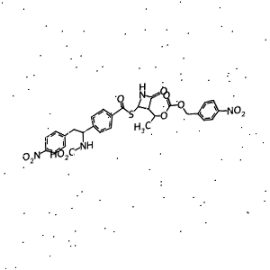 CC(OC(=O)OCc1ccc([N+](=O)[O-])cc1)C1C(=O)NC1SC(=O)c1ccc(C(Cc2ccc([N+](=O)[O-])cc2)NC(=O)O)cc1